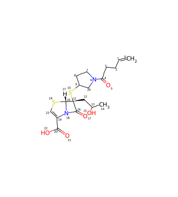 C=CCCC(=O)N1CCC(S[C@]2(CC(C)O)C(=O)N3C(C(=O)O)=CS[C@@H]32)C1